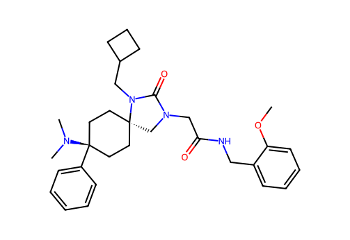 COc1ccccc1CNC(=O)CN1C[C@]2(CC[C@](c3ccccc3)(N(C)C)CC2)N(CC2CCC2)C1=O